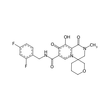 CN1CC2(CCCOC2)n2cc(C(=O)NCc3ccc(F)cc3F)c(=O)c(O)c2C1=O